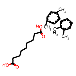 Cc1ccc(C)cc1.Cc1ccccc1C.O=C(O)CCCCCCCC(=O)O